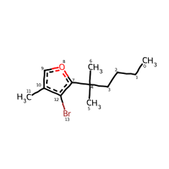 CCCCC(C)(C)c1occ(C)c1Br